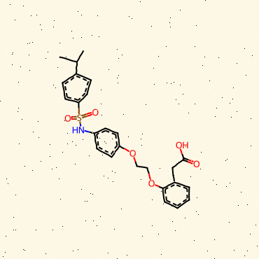 CC(C)c1ccc(S(=O)(=O)Nc2ccc(OCCOc3ccccc3CC(=O)O)cc2)cc1